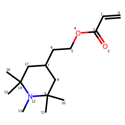 C=CC(=O)OCCC1CC(C)(C)N(C)C(C)(C)C1